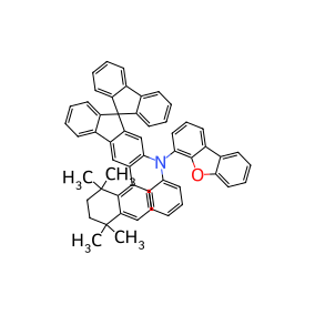 CC1(C)CCC(C)(C)c2c(-c3cc4c(cc3N(c3ccccc3)c3cccc5c3oc3ccccc35)C3(c5ccccc5-c5ccccc53)c3ccccc3-4)cccc21